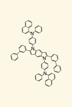 c1ccc(-c2cccc(-c3cc4cc5c(cc(-c6cccc(-c7ccccc7)c6)n5-c5ccc(N(c6ccccc6)c6cccc7ccccc67)cc5)cc4n3-c3ccc(N(c4ccccc4)c4cccc5ccccc45)cc3)c2)cc1